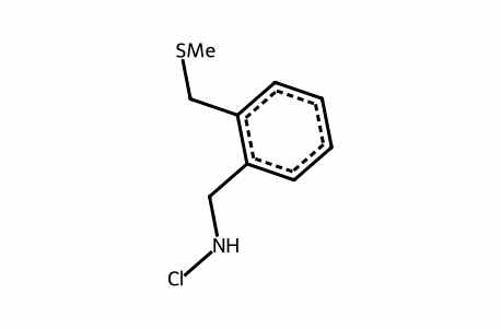 CSCc1ccccc1CNCl